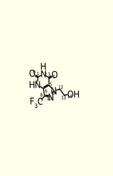 O=c1[nH]c(=O)c2c([nH]1)c(C(F)(F)F)nn2CCO